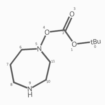 CC(C)(C)OC(=O)ON1CCCNCC1